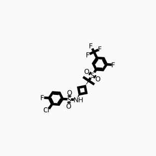 CC(C)([C@H]1C[C@@H](NS(=O)(=O)c2ccc(F)c(Cl)c2)C1)S(=O)(=O)c1cc(F)cc(C(F)(F)F)c1